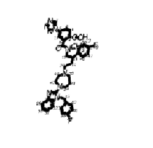 COc1ccc(-n2cnnn2)cc1C(=O)N(C)CC(CCN1CCCN(c2nc3ccccc3n2Cc2ccc(F)cc2)CC1)c1ccc(F)cc1